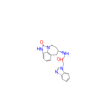 C[C@H](CCn1cnc2ccccc21)N[C@@H]1CCn2c(=O)[nH]c3cccc(c32)[C@H]1O